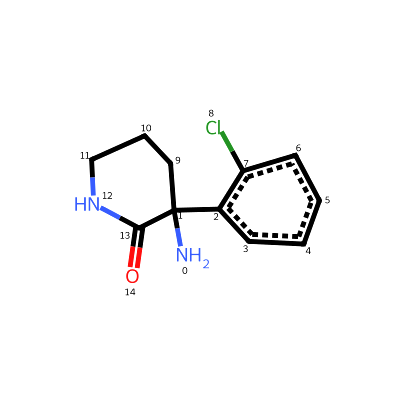 NC1(c2ccccc2Cl)CCCNC1=O